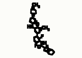 CN1CCN(c2ccc(Nc3cc(-c4ccc(F)c(NC(=O)c5cc6c(s5)C5CCC6C5)c4F)cn(C)c3=O)nc2)CC1